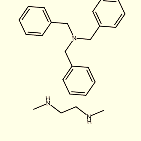 CNCCNC.c1ccc(CN(Cc2ccccc2)Cc2ccccc2)cc1